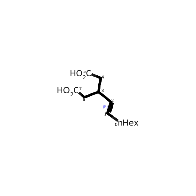 CCCCCC/C=C/C(CC(=O)O)CC(=O)O